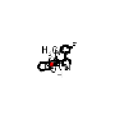 CN1Cc2c(C3=CC4CCCC(C3)N4S(C)(=O)=O)[nH]c3nccc(c23)-c2cc(F)ccc21